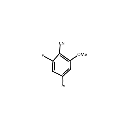 COc1cc(C(C)=O)cc(F)c1C#N